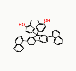 Cc1cc(C2(c3ccc(O)c(C)c3)c3cc(-c4cccc5ccccc45)ccc3-c3ccc(-c4cccc5ccccc45)cc32)ccc1O